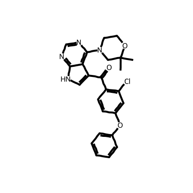 CC1(C)CN(c2ncnc3[nH]cc(C(=O)c4ccc(Oc5ccccc5)cc4Cl)c23)CCO1